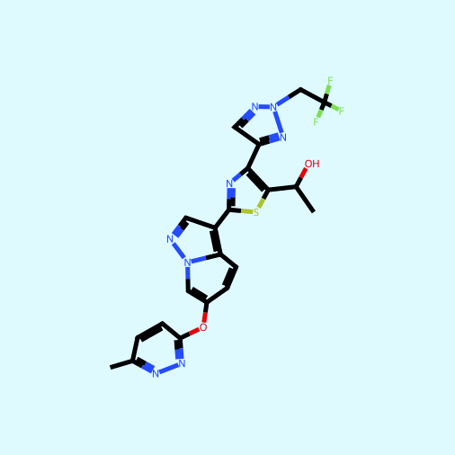 Cc1ccc(Oc2ccc3c(-c4nc(-c5cnn(CC(F)(F)F)n5)c(C(C)O)s4)cnn3c2)nn1